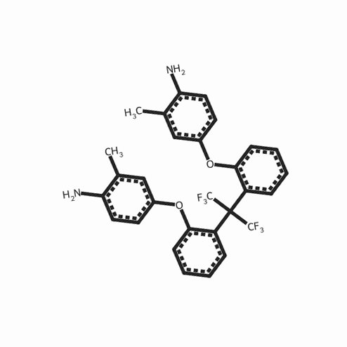 Cc1cc(Oc2ccccc2C(c2ccccc2Oc2ccc(N)c(C)c2)(C(F)(F)F)C(F)(F)F)ccc1N